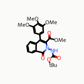 COC(=O)c1c(-c2cc(OC)c(OC)c(OC)c2)c2ccccc2c(=O)n1NC(=O)OC(C)(C)C